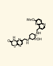 COc1ccc2nccc(CN[C@H]3CC[C@H](NCc4cnc5c(n4)NC(=O)CS5)C[C@H]3O)c2n1